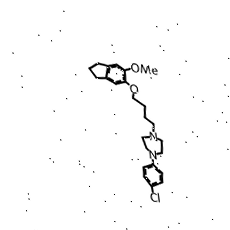 COc1cc2c(cc1OCCCCN1CCN(c3ccc(Cl)cc3)CC1)CCC2